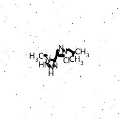 CCN1NNN=C1c1cnn(CC(C)C)c1Cl